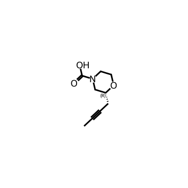 CC#CC[C@@H]1CN(C(=O)O)CCO1